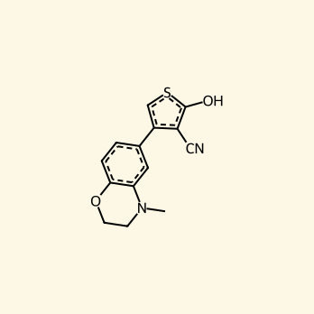 CN1CCOc2ccc(-c3csc(O)c3C#N)cc21